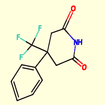 O=C1CC(c2ccccc2)(C(F)(F)F)CC(=O)N1